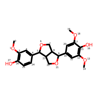 COc1cc(C2OCC3C(c4cc(OC)c(O)c(OC)c4)OCC23)ccc1O